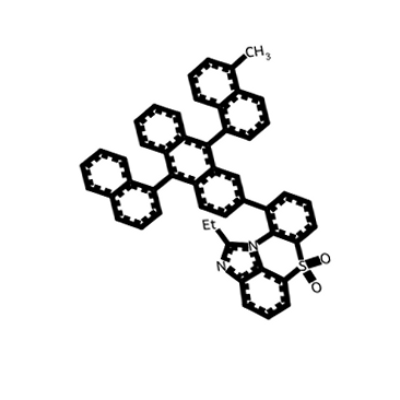 CCc1nc2cccc3c2n1-c1c(-c2ccc4c(-c5cccc6ccccc56)c5ccccc5c(-c5cccc6c(C)cccc56)c4c2)cccc1S3(=O)=O